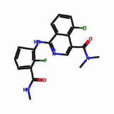 CNC(=O)c1cccc(Nc2ncc(C(=O)N(C)C)c3c(Cl)cccc23)c1F